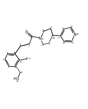 O=C(CCc1cccc(CO)c1F)N1CCC(c2ccncc2)CC1